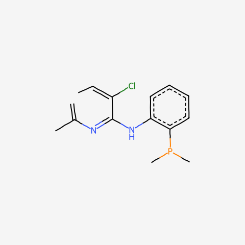 C=C(C)/N=C(Nc1ccccc1P(C)C)\C(Cl)=C/C